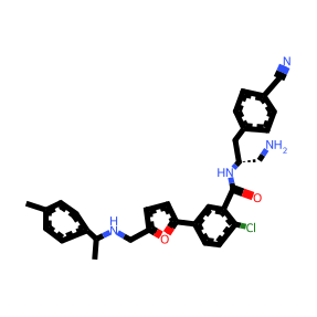 Cc1ccc(C(C)NCc2ccc(-c3ccc(Cl)c(C(=O)N[C@@H](CN)Cc4ccc(C#N)cc4)c3)o2)cc1